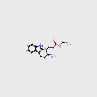 CCOC(=O)CCC1c2[nH]c3ccccc3c2CCC1N